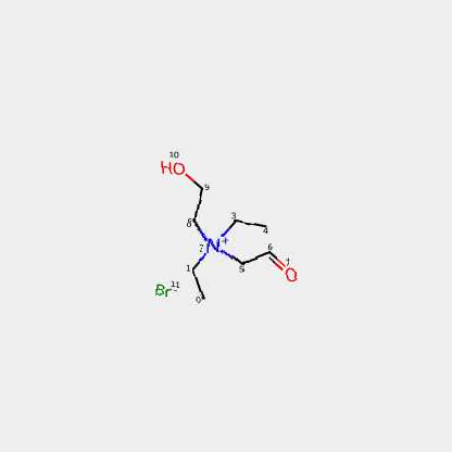 CC[N+](CC)(CC=O)CCO.[Br-]